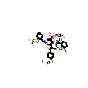 C=C(CN(C)Cc1c(-c2ccc(OC)cc2)sc2c1c(=O)c(C(=O)OCC)cn2Cc1ccccc1OC)c1ccccc1